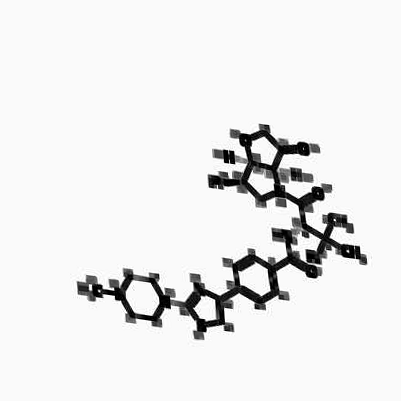 CCC(C)(C)[C@H](NC(=O)c1ccc(-c2csc(N3CCN(C)CC3)n2)cc1)C(=O)N1C[C@@H](C(C)C)[C@H]2OCC(=O)[C@H]21